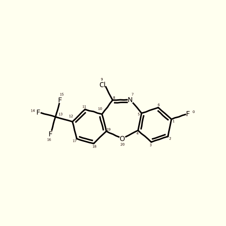 Fc1ccc2c(c1)N=C(Cl)c1cc(C(F)(F)F)ccc1O2